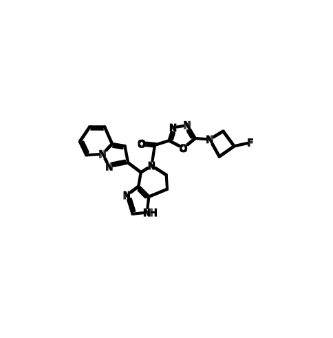 O=C(c1nnc(N2CC(F)C2)o1)N1CCc2[nH]cnc2C1c1cc2ccccn2n1